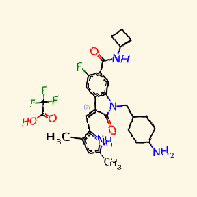 Cc1cc(C)c(/C=C2\C(=O)N(CC3CCC(N)CC3)c3cc(C(=O)NC4CCC4)c(F)cc32)[nH]1.O=C(O)C(F)(F)F